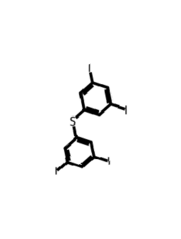 Ic1cc(I)cc(Sc2cc(I)cc(I)c2)c1